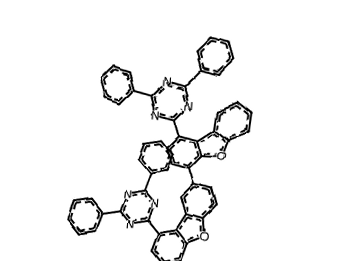 c1ccc(-c2nc(-c3ccccc3)nc(-c3cccc4oc5ccc(-c6ccc(-c7nc(-c8ccccc8)nc(-c8ccccc8)n7)c7c6oc6ccccc67)cc5c34)n2)cc1